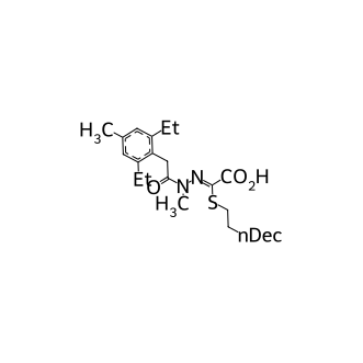 CCCCCCCCCCCCSC(=NN(C)C(=O)Cc1c(CC)cc(C)cc1CC)C(=O)O